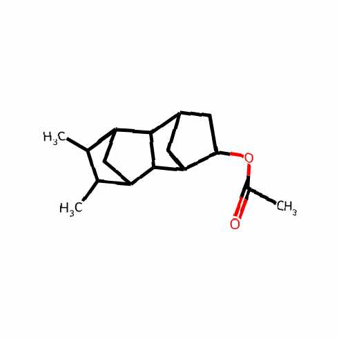 CC(=O)OC1CC2CC1C1C3CC(C(C)C3C)C21